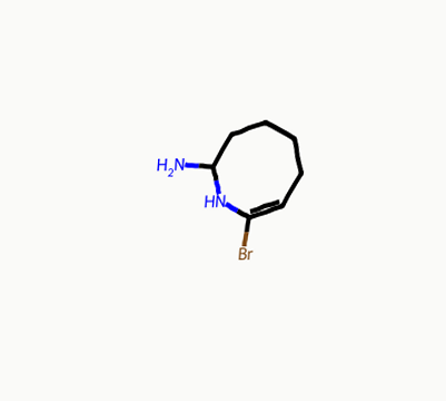 NC1CCCCC=C(Br)N1